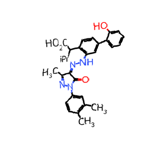 CC1=NN(c2ccc(C)c(C)c2)C(=O)C1=NNc1cc(-c2ccccc2O)ccc1C(C(=O)O)C(C)C